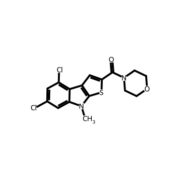 Cn1c2cc(Cl)cc(Cl)c2c2cc(C(=O)N3CCOCC3)sc21